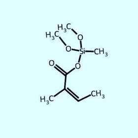 CC=C(C)C(=O)O[Si](C)(OC)OC